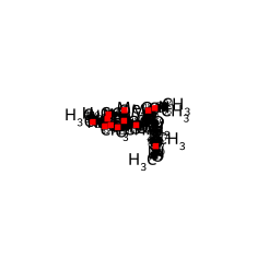 COc1cc2c(cc1OCCN(C)C)N(C(=O)c1ccc(-c3ccc(-c4noc(C)n4)cc3C)cc1)C(C)C2OC(=O)C(=O)OC1c2cc(OC)c(OCCN(C)C)cc2N(C(=O)c2ccc(-c3ccc(-c4noc(C)n4)cc3C)cc2)C1C